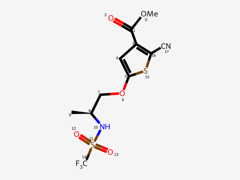 COC(=O)c1cc(OC[C@H](C)NS(=O)(=O)C(F)(F)F)sc1C#N